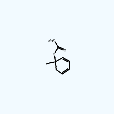 COC(=O)OC1(C)C=CC=CC1